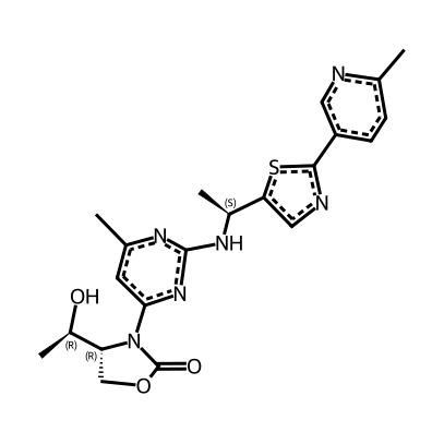 Cc1ccc(-c2ncc([C@H](C)Nc3nc(C)cc(N4C(=O)OC[C@@H]4[C@@H](C)O)n3)s2)cn1